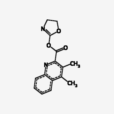 Cc1c(C(=O)OC2=NCCO2)nc2ccccc2c1C